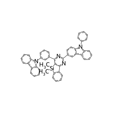 C[Si]1(C)c2ccccc2-c2nc(-c3ccc4c(c3)c3ccccc3n4-c3ccccc3)nc(-c3cccc(-n4c5ccccc5c5ccccc54)c3)c21